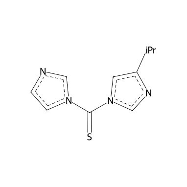 CC(C)c1cn(C(=S)n2ccnc2)cn1